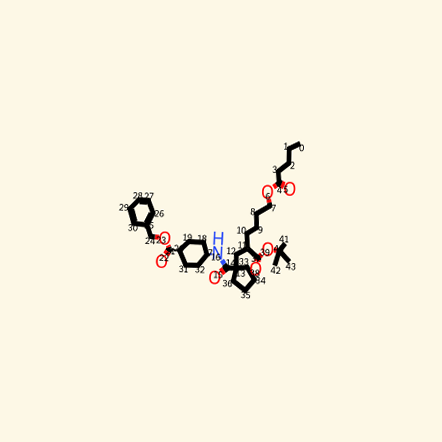 CCCCC(=O)OCCCCC(CC1(C(=O)N[C@H]2CC[C@@H](C(=O)OCc3ccccc3)CC2)CCCC1)C(=O)OC(C)(C)C